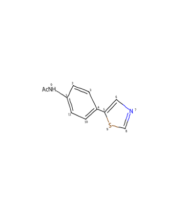 CC(=O)Nc1ccc(-c2cncs2)cc1